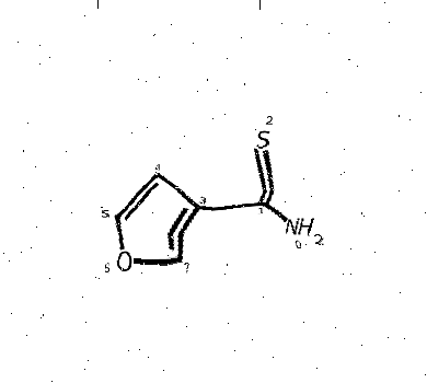 NC(=S)c1ccoc1